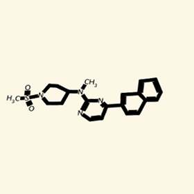 CN(c1nccc(-c2ccc3ccccc3c2)n1)C1CCN(S(C)(=O)=O)CC1